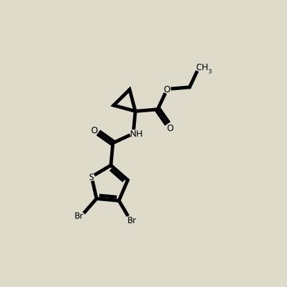 CCOC(=O)C1(NC(=O)c2cc(Br)c(Br)s2)CC1